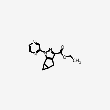 CCOC(=O)c1nn(-c2cnccn2)c2c1CC1CC21